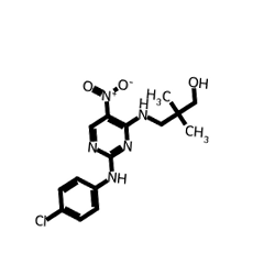 CC(C)(CO)CNc1nc(Nc2ccc(Cl)cc2)ncc1[N+](=O)[O-]